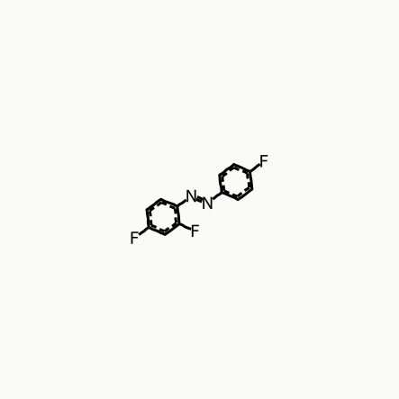 Fc1ccc(N=Nc2ccc(F)cc2F)cc1